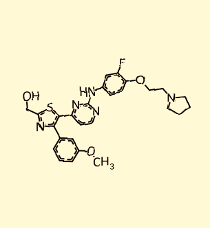 COc1cccc(-c2nc(CO)sc2-c2ccnc(Nc3ccc(OCCN4CCCC4)c(F)c3)n2)c1